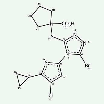 O=C(O)C1(Sc2nnc(Br)n2-c2cc(Cl)c(C3CC3)s2)CCCC1